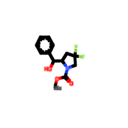 CC(C)(C)OC(=O)N1CC(F)(F)CC1C(O)c1ccccc1